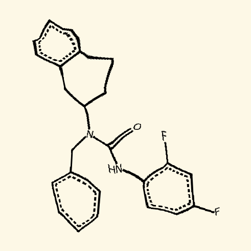 O=C(Nc1ccc(F)cc1F)N(Cc1ccccc1)C1CCc2ccccc2C1